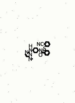 CN(C)c1ccnc(N[C@H]2CC[C@@H](NC(=O)c3ccccc3Sc3ccccc3C#N)CC2)n1